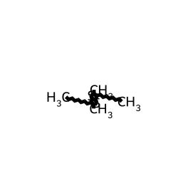 CCCCCCCCc1c(C)sc2c(CCCCCCCC)c(C)sc12